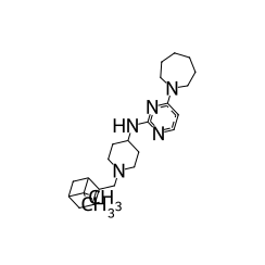 CC1(C)C2CC=C(CN3CCC(Nc4nccc(N5CCCCCC5)n4)CC3)C1C2